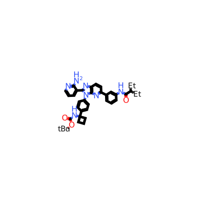 CCC(CC)C(=O)Nc1cccc(-c2ccc3nc(-c4cccnc4N)n(-c4ccc(C5(NC(=O)OC(C)(C)C)CCC5)cc4)c3n2)c1